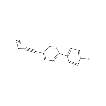 CCC#Cc1ccc(-c2ccc(F)cc2)nc1